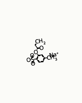 C=CC(=O)Oc1cc(C)ccc1S(=O)(=O)[O-].[Na+]